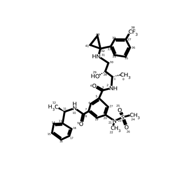 C[C@H](NC(=O)c1cc(C(=O)N[C@H](C)c2ccccc2)cc(N(C)S(C)(=O)=O)c1)[C@H](O)CNC1(c2cccc(C(F)(F)F)c2)CC1